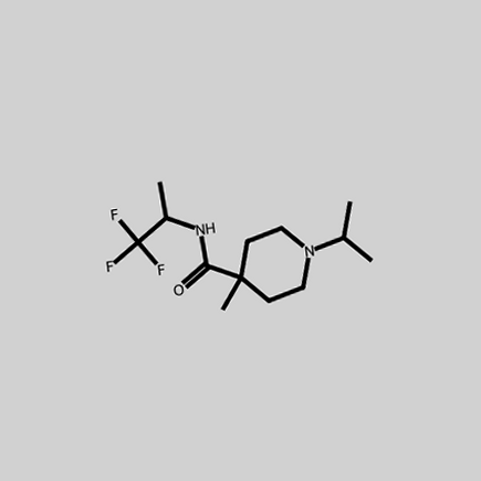 CC(C)N1CCC(C)(C(=O)NC(C)C(F)(F)F)CC1